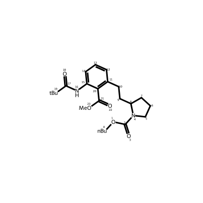 CCCCOC(=O)N1CCCC1CCc1cccc(NC(=O)C(C)(C)C)c1C(=O)OC